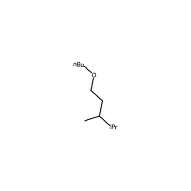 CCCCOCCC(C)C(C)C